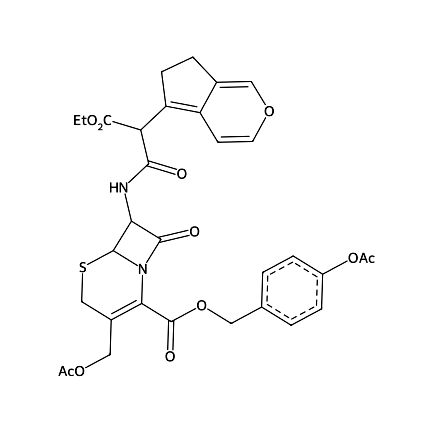 CCOC(=O)C(C(=O)NC1C(=O)N2C(C(=O)OCc3ccc(OC(C)=O)cc3)=C(COC(C)=O)CSC12)C1=C2C=COC=C2CC1